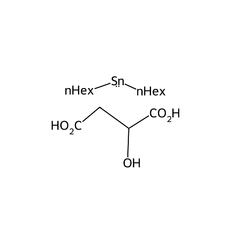 CCCCC[CH2][Sn][CH2]CCCCC.O=C(O)CC(O)C(=O)O